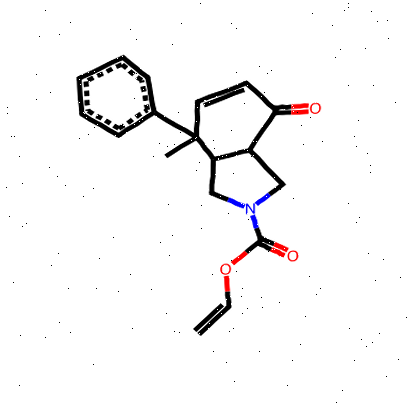 C=COC(=O)N1CC2C(=O)C=CC(C)(c3ccccc3)C2C1